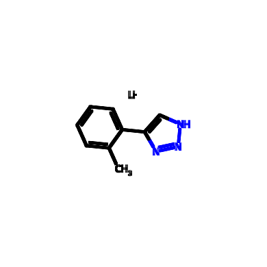 Cc1ccccc1-c1c[nH]nn1.[Li]